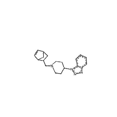 C1=CC2CC1CC2CN1CCC(n2nnc3ccccc32)CC1